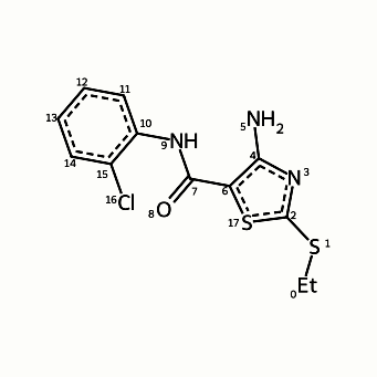 CCSc1nc(N)c(C(=O)Nc2ccccc2Cl)s1